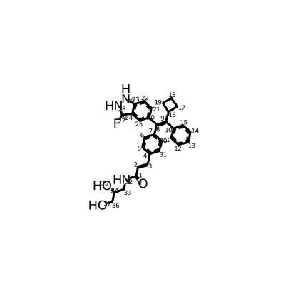 O=C(/C=C/c1ccc(/C(=C(\c2ccccc2)C2CCC2)c2ccc3c(c2)C(F)NN3)cc1)NCC(O)CO